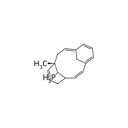 C[C@@]12C=CCC(/C=C\C3=CC=C/C(=C/C1)C3)C2P